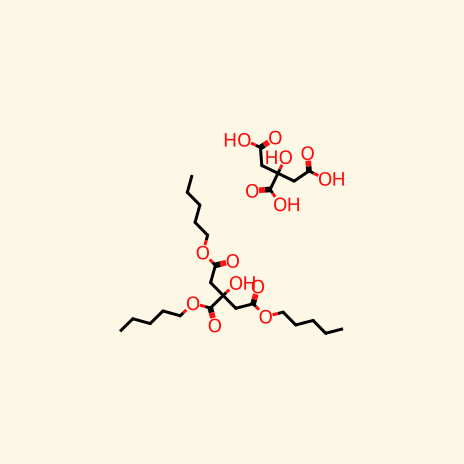 CCCCCOC(=O)CC(O)(CC(=O)OCCCCC)C(=O)OCCCCC.O=C(O)CC(O)(CC(=O)O)C(=O)O